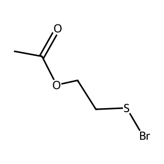 CC(=O)OCCSBr